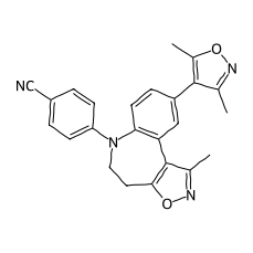 Cc1noc(C)c1-c1ccc2c(c1)-c1c(C)noc1CCN2c1ccc(C#N)cc1